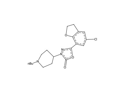 CCCCN1CCC(n2nc(-c3cc(Cl)cc4c3OCC4)oc2=O)CC1